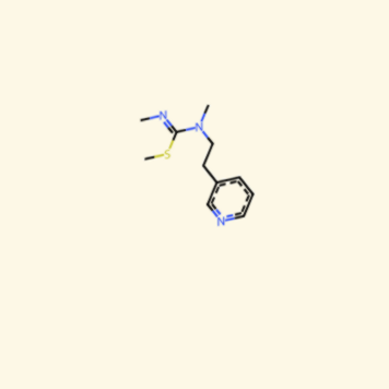 CN=C(SC)N(C)CCc1cccnc1